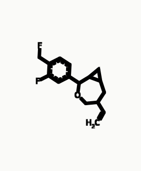 C=CC1COC(c2ccc(CF)c(F)c2)C2CC2C1